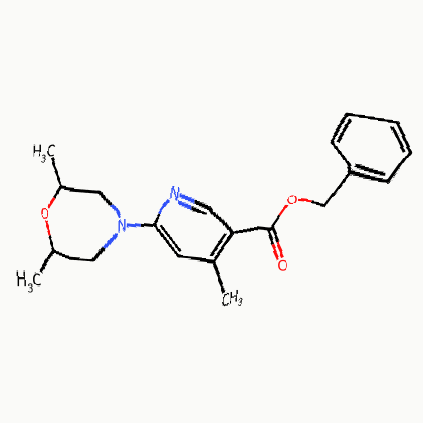 Cc1cc(N2CC(C)OC(C)C2)ncc1C(=O)OCc1ccccc1